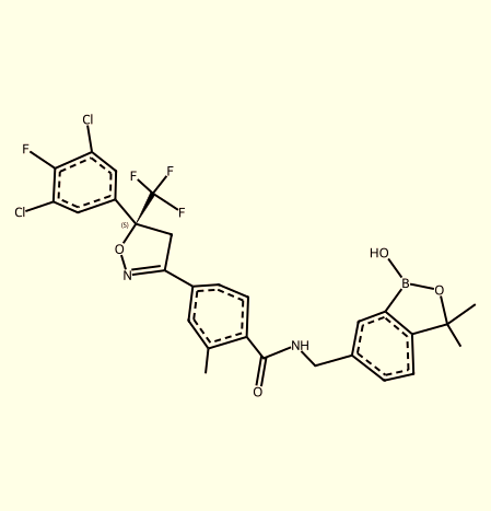 Cc1cc(C2=NO[C@@](c3cc(Cl)c(F)c(Cl)c3)(C(F)(F)F)C2)ccc1C(=O)NCc1ccc2c(c1)B(O)OC2(C)C